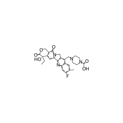 CC[C@@]1(O)C(=O)OCc2c1cc1n(c2=O)Cc2c-1nc1cc(F)c(C)cc1c2CN1CCN(C(=O)O)CC1